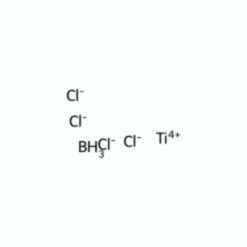 B.[Cl-].[Cl-].[Cl-].[Cl-].[Ti+4]